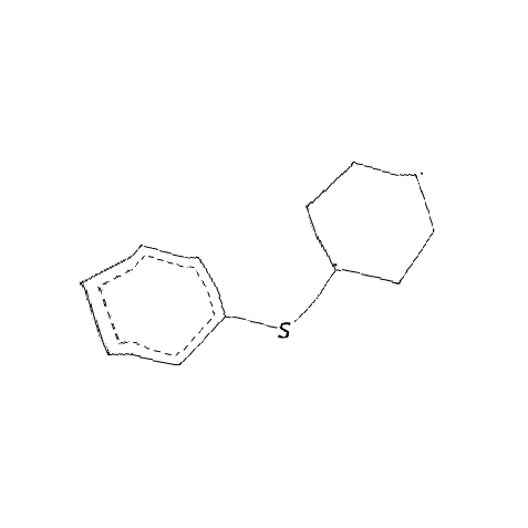 [CH]1CC[C](Sc2ccccc2)CC1